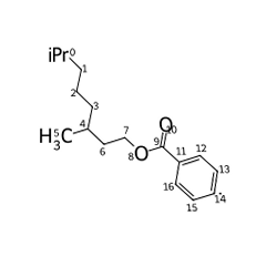 CC(C)CCCC(C)CCOC(=O)c1cc[c]cc1